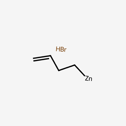 Br.C=CC[CH2][Zn]